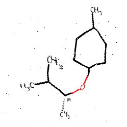 CC1CCC(O[C@H](C)C(C)C)CC1